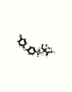 CCC(NS(=O)(=O)c1ccc(Oc2ccc(Br)cc2)cc1)(C(N)=O)[S+](C)[O-]